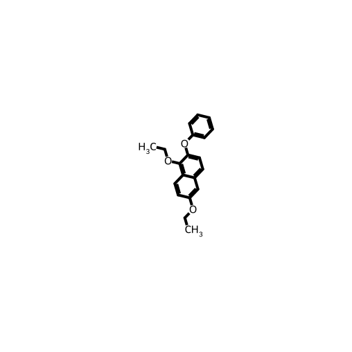 CCOc1ccc2c(OCC)c(Oc3ccccc3)ccc2c1